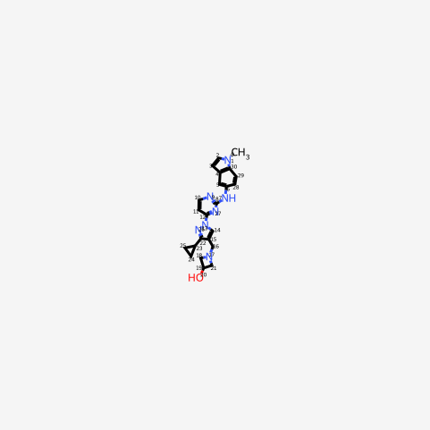 Cn1ccc2cc(Nc3nccc(-n4cc(CN5CC(O)C5)c(C5CC5)n4)n3)ccc21